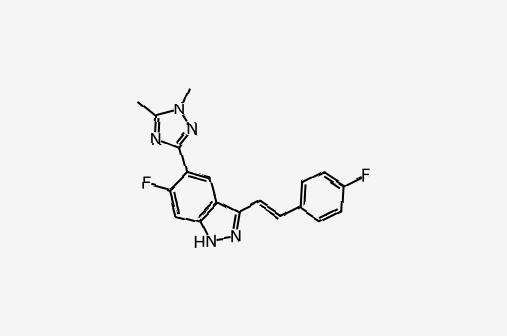 Cc1nc(-c2cc3c(/C=C/c4ccc(F)cc4)n[nH]c3cc2F)nn1C